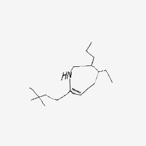 CCCC1CNC(CCC(C)(C)C)=CCC1CC